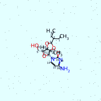 CCC(CC)C1O[C@@H]2[C@@H](CO)O[C@@H](n3ccc(N)nc3=O)[C@]2(C)O1